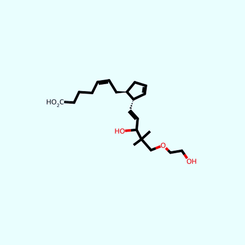 CC(C)(COCCO)C(O)C=C[C@H]1C=CC[C@@H]1C/C=C\CCCC(=O)O